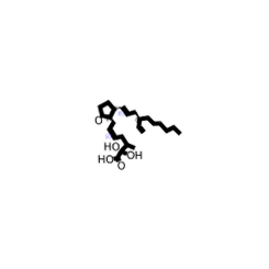 C=C[C@@H](C/C=C/[C@H]1CCC(=O)[C@@H]1C/C=C\CC(C)C(O)(O)C(=O)O)CCCCCC